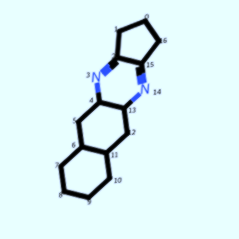 C1CC2=NC3CC4CCCCC4CC3N=C2C1